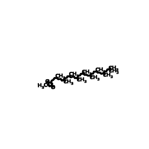 CC(C)=CCCC(C)=CCCC(C)=CCCC(C)=CCCC(C)=CCCC(C)=CCCC(C)=CCCC(C)=CCCC(C)=CCCC1=CC(=O)C=C(C)C1=O